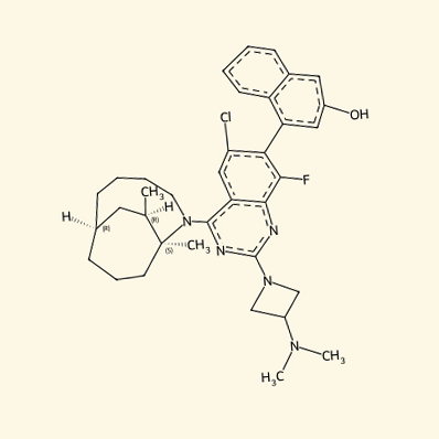 C[C@@H]1C[C@@H]2CCCCN(c3nc(N4CC(N(C)C)C4)nc4c(F)c(-c5cc(O)cc6ccccc56)c(Cl)cc34)[C@@]1(C)CCC2